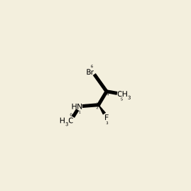 CN[C@H](F)C(C)Br